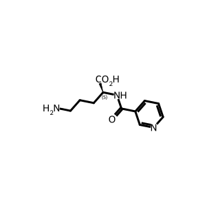 NCCC[C@H](NC(=O)c1cccnc1)C(=O)O